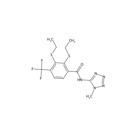 CCSc1c(C(=O)Nc2nnnn2C)ccc(C(F)(F)F)c1SCC